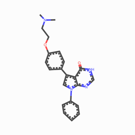 CN(C)CCOc1ccc(-c2cn(-c3ccccc3)c3nc[nH]c(=O)c23)cc1